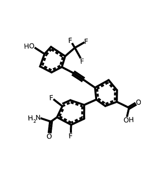 NC(=O)c1c(F)cc(-c2cc(C(=O)O)ccc2C#Cc2ccc(O)cc2C(F)(F)F)cc1F